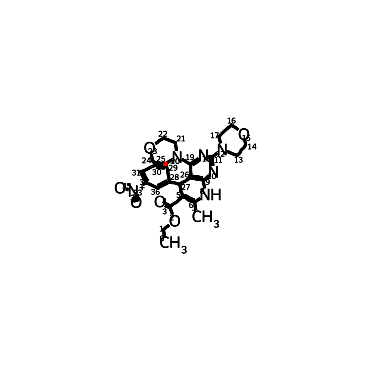 CCOC(=O)C1=C(C)Nc2nc(N3CCOCC3)nc(N3CCOCC3)c2C1c1cccc([N+](=O)[O-])c1